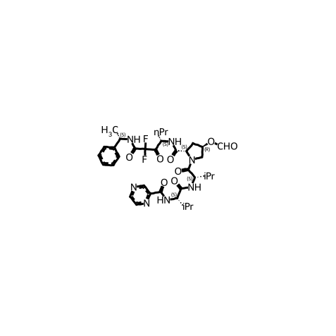 CCC[C@H](NC(=O)[C@@H]1C[C@@H](OC=O)CN1C(=O)[C@@H](NC(=O)[C@@H](NC(=O)c1cnccn1)C(C)C)C(C)C)C(=O)C(F)(F)C(=O)N[C@@H](C)c1ccccc1